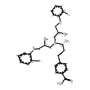 C[C@H](CCc1ccc(C(N)=O)cc1)N(CC(O)COc1ccccc1F)CC(O)COc1ccccc1F